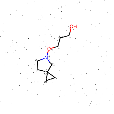 OCCCON1CCC2(CC2)C1